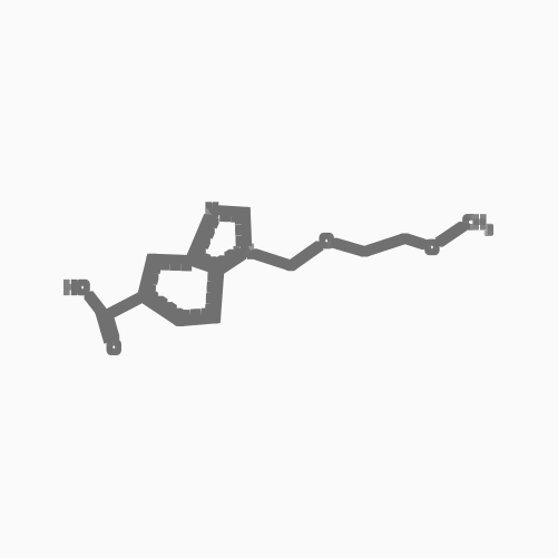 COCCOCn1cnc2cc(C(=O)O)ccc21